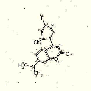 CN(C)c1ccc2c(-c3ccc(F)cc3Cl)cc(=O)oc2c1